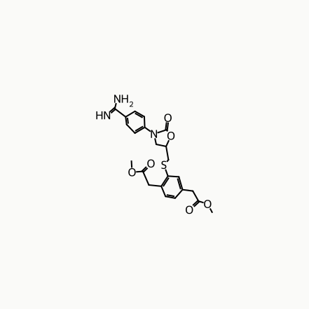 COC(=O)Cc1ccc(CC(=O)OC)c(SCC2CN(c3ccc(C(=N)N)cc3)C(=O)O2)c1